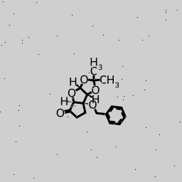 CC1(C)O[C@H]2O[C@@H]3C(=O)CC[C@]3(OCc3ccccc3)[C@H]2O1